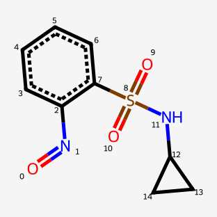 O=Nc1ccccc1S(=O)(=O)NC1CC1